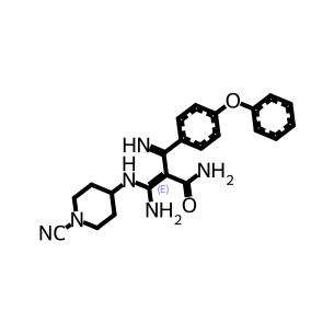 N#CN1CCC(N/C(N)=C(\C(=N)c2ccc(Oc3ccccc3)cc2)C(N)=O)CC1